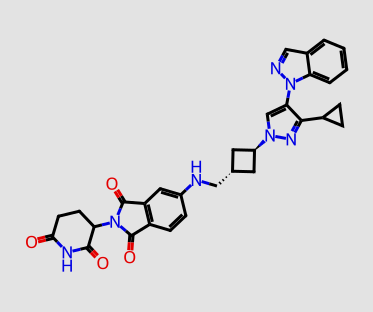 O=C1CCC(N2C(=O)c3ccc(NC[C@H]4C[C@H](n5cc(-n6ncc7ccccc76)c(C6CC6)n5)C4)cc3C2=O)C(=O)N1